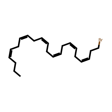 CCC/C=C\C/C=C\C/C=C\C/C=C\C/C=C\C/C=C\CCBr